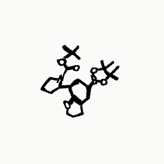 CC(C)(C)OC(=O)N1CCCC1c1cc(B2OC(C)(C)C(C)(C)O2)cc2c1OCCC2